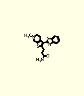 CN1CCc2c(sc(CCC(N)=O)c2-c2nc3ccccc3s2)C1